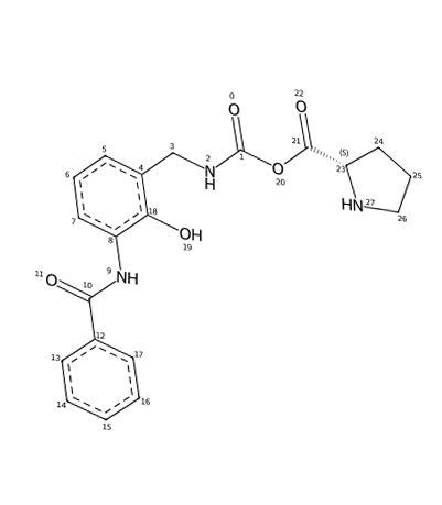 O=C(NCc1cccc(NC(=O)c2ccccc2)c1O)OC(=O)[C@@H]1CCCN1